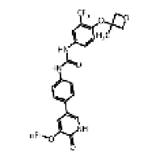 CCCOc1cc(-c2ccc(NC(=O)Nc3ccc(OC4(C)COC4)c(C(F)(F)F)c3)cc2)c[nH]c1=O